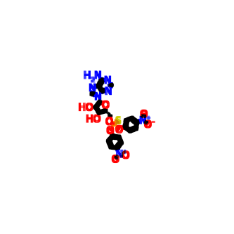 Nc1ncnc2c1ncn2[C@@H]1O[C@H](COP(=S)(Oc2ccc([N+](=O)[O-])cc2)Oc2ccc([N+](=O)[O-])cc2)[C@@H](O)[C@H]1O